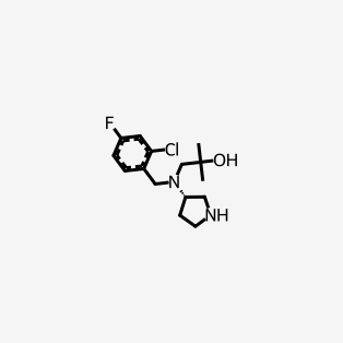 CC(C)(O)CN(Cc1ccc(F)cc1Cl)[C@H]1CCNC1